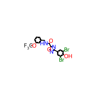 O=C(NCc1cccc(OC(F)(F)F)c1)c1nc(-c2cc(Br)c(O)c(Br)c2)no1